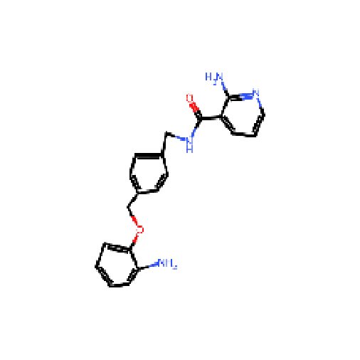 Nc1ccccc1OCc1ccc(CNC(=O)c2cccnc2N)cc1